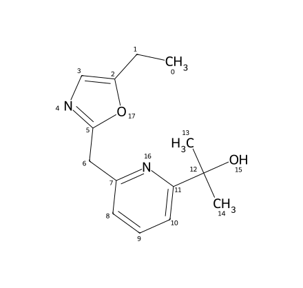 CCc1cnc(Cc2cccc(C(C)(C)O)n2)o1